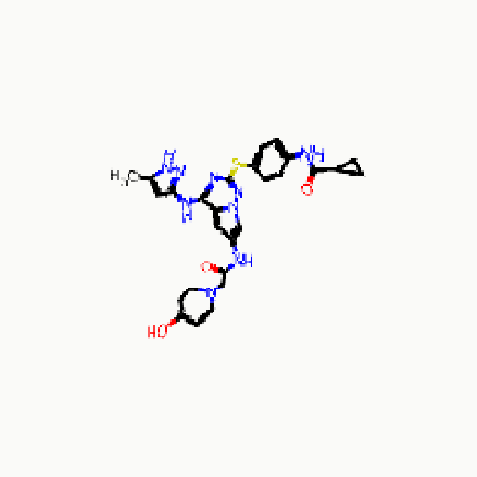 Cc1cc(Nc2nc(Sc3ccc(NC(=O)C4CC4)cc3)nn3cc(NC(=O)CN4CCC(O)CC4)cc23)n[nH]1